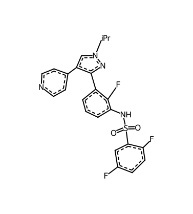 CC(C)n1cc(-c2ccncc2)c(-c2cccc(NS(=O)(=O)c3cc(F)ccc3F)c2F)n1